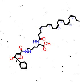 CC/C=C\C/C=C\C/C=C\C/C=C\C/C=C\C/C=C\CCC(=O)NC(CCCCNC(=O)C1=CC(=O)C(C)(c2ccccc2)O1)C(=O)O